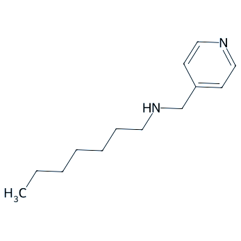 CCCCCCCNCc1ccncc1